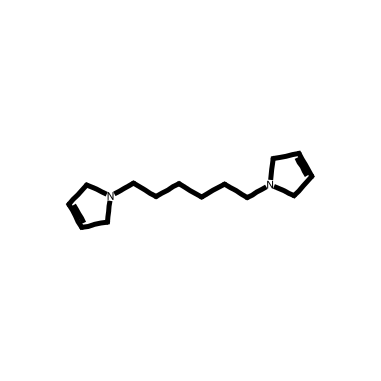 C1=CCN(CCCCCCN2CC=CC2)C1